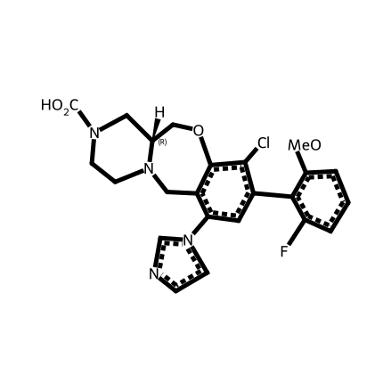 COc1cccc(F)c1-c1cc(-n2ccnc2)c2c(c1Cl)OC[C@H]1CN(C(=O)O)CCN1C2